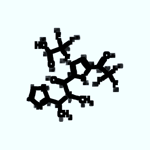 CC(c1nccs1)N(C)C(=O)c1ccc(C(=O)C(F)(F)F)s1.O=C(O)C(F)(F)F